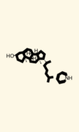 C1=CC=CNC=C1.CC(C)CCCC(C)[C@H]1CC[C@H]2[C@@H]3CC=C4C[C@@H](O)CC[C@]4(C)[C@H]3CC[C@]12C